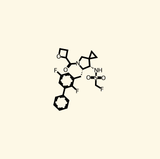 O=C(C1CCO1)N1CC2(CC2)[C@H](NS(=O)(=O)CF)[C@@H]1Cc1cc(F)cc(-c2ccccc2)c1F